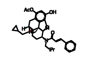 CC(=O)Oc1cc(O)c2c3c1C[C@@H]1[C@@H]4CC[C@H](N(CC(C)C)C(=O)C=Cc5ccccc5)[C@H](O2)[C@]34CCN1CC1CC1